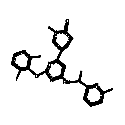 Cc1cccc(C(C)Nc2cc(-c3ccc(=O)n(C)c3)nc(Oc3c(C)cccc3F)n2)n1